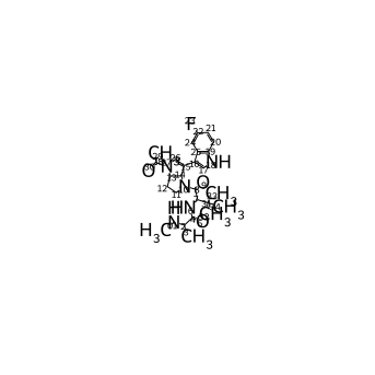 CNC(C)C(=O)NC(C(=O)N1CCC2C1C(c1c[nH]c3ccc(F)cc13)=CN2C(C)=O)C(C)(C)C